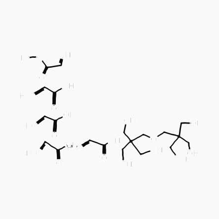 C=CC(=O)O.C=CC(=O)O.C=CC(=O)O.C=CC(=O)O.C=CC(=O)OO.OCC(CO)(CO)COCC(CO)(CO)CO